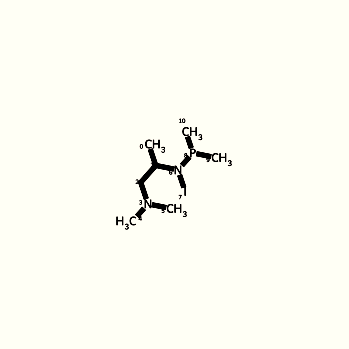 CC(CN(C)C)N(I)P(C)C